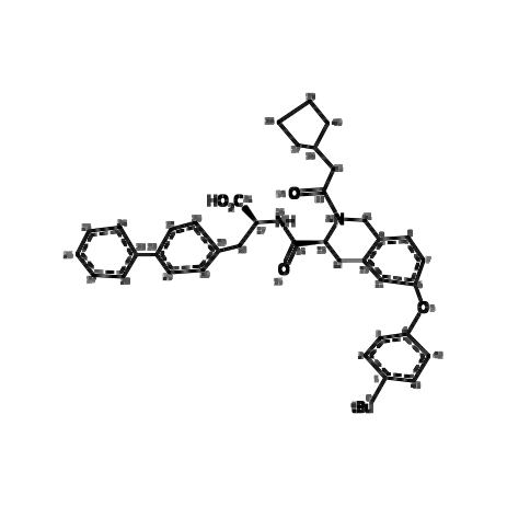 CC(C)(C)c1ccc(Oc2ccc3c(c2)C[C@@H](C(=O)N[C@@H](Cc2ccc(-c4ccccc4)cc2)C(=O)O)N(C(=O)CC2CCCC2)C3)cc1